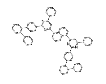 c1ccc(-c2cc(-c3cccc4c(-c5cc(-c6ccccc6)nc(-c6ccc(-c7ccccc7-c7ccccc7)cc6)n5)cccc34)nc(-c3ccc(-c4ccccc4-c4ccccc4)cc3)n2)cc1